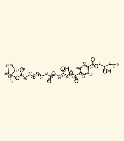 CCCC(O)COC(=O)c1ccc(C(=O)OCC(O)COC(=O)CCSSCCC(=O)OC(C)(CC)CC)cc1